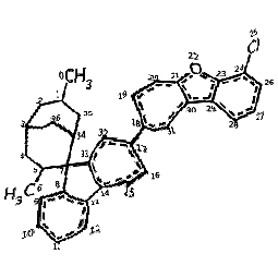 CC1CC2CC(C)C3(c4ccccc4-c4ccc(-c5ccc6oc7c(Cl)cccc7c6c5)cc43)C(C1)C2